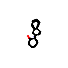 O=C1CCCC/C1=C1\C=Cc2ccccc2C1